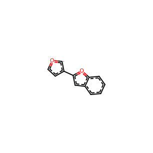 [c]1occc1-c1cc2ccccc2o1